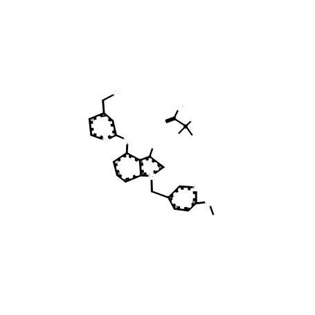 COc1ccc(Cn2cc(C)c3c(Oc4cc(CN)ccn4)cccc32)cn1.O=C(O)C(F)(F)F